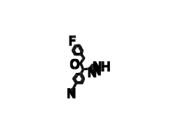 N#Cc1ccc(C(C(=O)Cc2ccc(F)cc2)c2c[nH]nn2)cc1